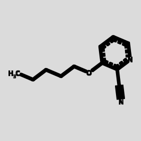 CCCCCOc1cccnc1C#N